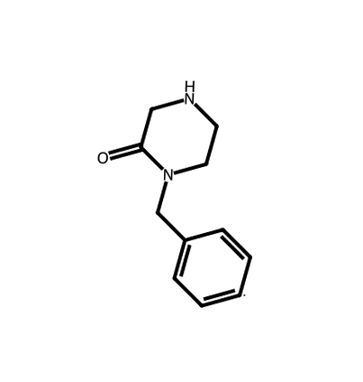 O=C1CNCCN1Cc1cc[c]cc1